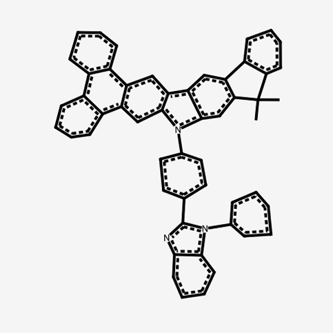 CC1(C)c2ccccc2-c2cc3c4cc5c6ccccc6c6ccccc6c5cc4n(-c4ccc(-c5nc6ccccc6n5-c5ccccc5)cc4)c3cc21